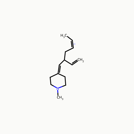 C=CC(C=C1CCN(C)CC1)C/C=C\C